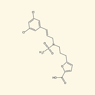 CS(=O)(=O)N(CC=Cc1cc(Cl)cc(Cl)c1)CCCc1ccc(C(=O)O)o1